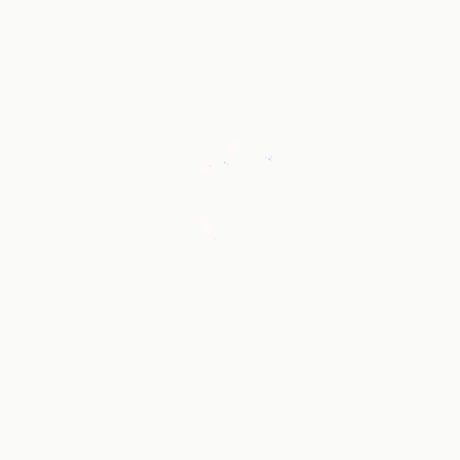 Nc1ccc(CC(=O)c2ccc(Cl)cc2)cc1[N+](=O)[O-]